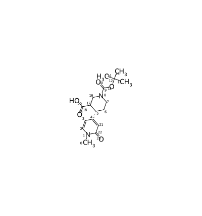 Cn1ccc([C@H]2CCN(C(=O)OC(C)(C)C)CC2C(=O)O)cc1=O